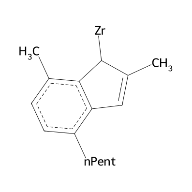 CCCCCc1ccc(C)c2c1C=C(C)[CH]2[Zr]